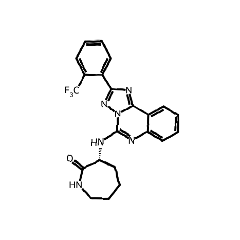 O=C1NCCCC[C@H]1Nc1nc2ccccc2c2nc(-c3ccccc3C(F)(F)F)nn12